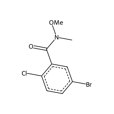 CON(C)C(=O)c1cc(Br)ccc1Cl